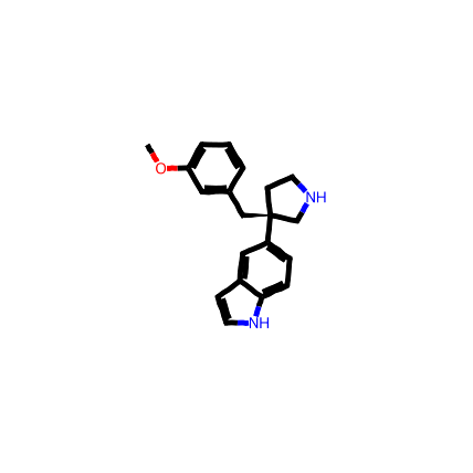 COc1cccc(C[C@@]2(c3ccc4[nH]ccc4c3)CCNC2)c1